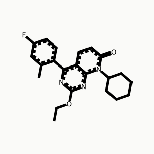 CCOc1nc(-c2ccc(F)cc2C)c2ccc(=O)n(C3CCCCC3)c2n1